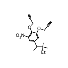 C#CCOc1cc(C(C)C(C)(C)CC)cc([N+](=O)[O-])c1OCC#C